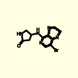 O=C1CC(Nc2ncc(Br)c3nccnc23)CN1